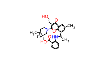 Cc1cc([C@@H](C)Nc2ccccc2C(=O)O)c2oc(N3CCC(C)(C)CC3)c(CCO)c(=O)c2c1